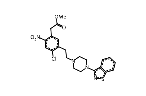 COC(=O)Cc1cc(CCN2CCN(c3nsc4ccccc34)CC2)c(Cl)cc1[N+](=O)[O-]